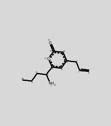 C=CCc1cc(C(N)CCC)oc(=O)c1